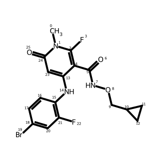 Cn1c(F)c(C(=O)NOCC2CC2)c(Nc2ccc(Br)cc2F)cc1=O